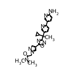 CN(C)C(=O)Cn1cc(-c2nc([C@@](C)(c3ccc(-c4ccc(N)nc4)nc3)C3CC3)no2)cn1